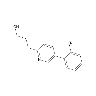 N#Cc1ccccc1-c1ccc(CCCO)nc1